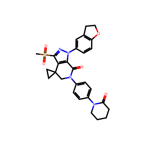 CS(=O)(=O)c1nn(-c2ccc3c(c2)CCO3)c2c1C1(CC1)CN(c1ccc(N3CCCCC3=O)cc1)C2=O